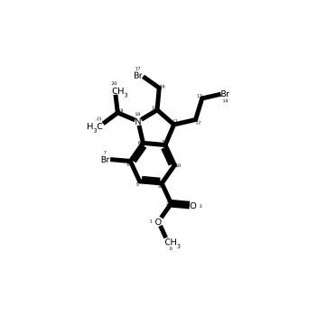 COC(=O)c1cc(Br)c2c(c1)C(CCBr)C(CBr)N2C(C)C